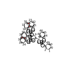 c1ccc(OB(OCC(COB(Oc2ccccc2)Oc2ccccc2)OB(Oc2ccccc2)Oc2ccccc2)Oc2ccccc2)cc1